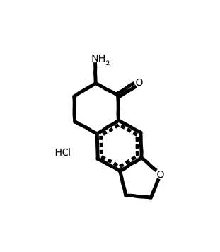 Cl.NC1CCc2cc3c(cc2C1=O)OCC3